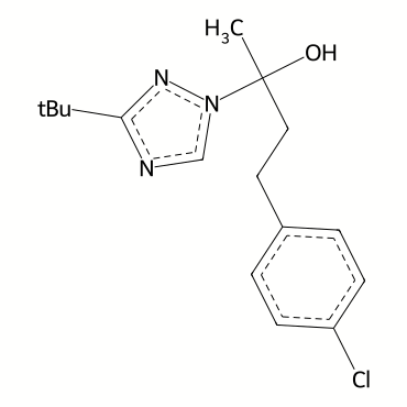 CC(C)(C)c1ncn(C(C)(O)CCc2ccc(Cl)cc2)n1